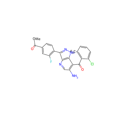 COC(=O)c1ccc(-c2n[nH]c3c(C(=O)c4c(Cl)cccc4C(F)(F)F)c(N)cnc23)c(F)c1